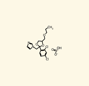 CCCOCC1COC(Cn2ccnc2)(c2ccc(Cl)cc2Cl)O1.O=[N+]([O-])O